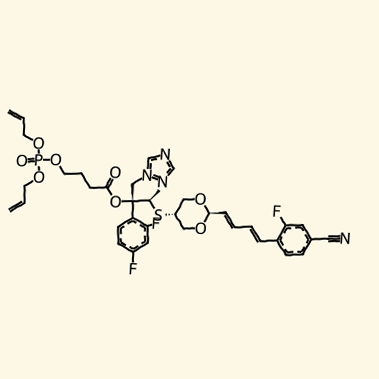 C=CCOP(=O)(OCC=C)OCCCC(=O)O[C@@](Cn1cncn1)(c1ccc(F)cc1F)[C@@H](C)S[C@H]1CO[C@H](C=CC=Cc2ccc(C#N)cc2F)OC1